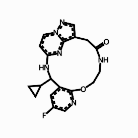 O=C1Cc2cnn3ccc(nc23)NC(C2CC2)c2cc(F)cnc2OCCN1